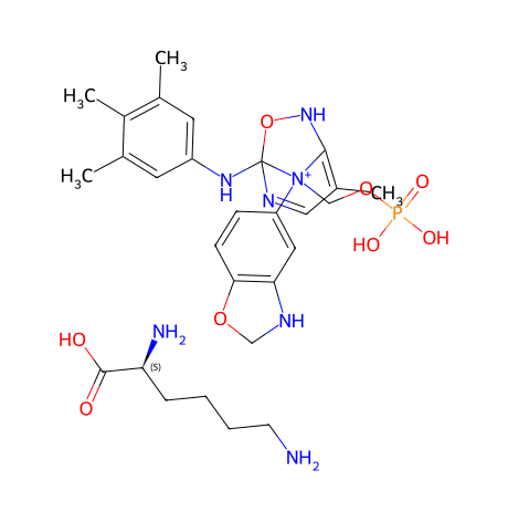 CC1=C2NOC(Nc3cc(C)c(C)c(C)c3)(N=C1)[N+]2(COP(=O)(O)O)c1ccc2c(c1)NCO2.NCCCC[C@H](N)C(=O)O